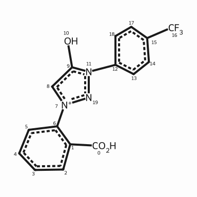 O=C(O)c1ccccc1-[n+]1cc(O)n(-c2ccc(C(F)(F)F)cc2)n1